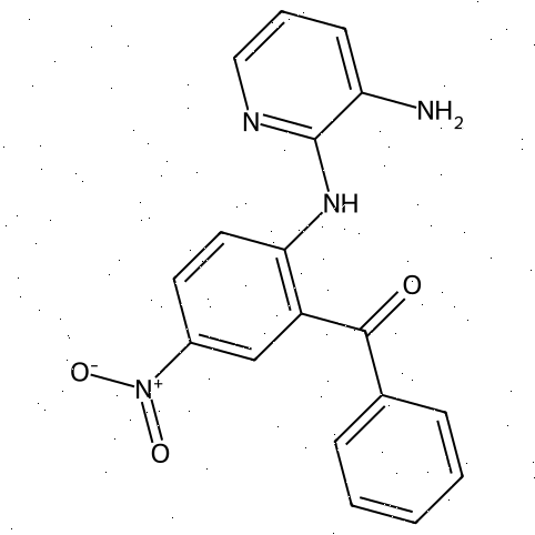 Nc1cccnc1Nc1ccc([N+](=O)[O-])cc1C(=O)c1ccccc1